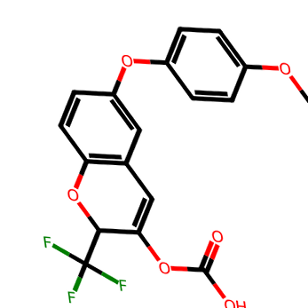 COc1ccc(Oc2ccc3c(c2)C=C(OC(=O)O)C(C(F)(F)F)O3)cc1